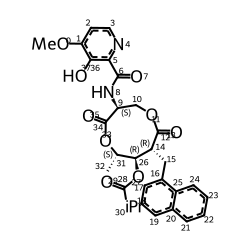 COc1ccnc(C(=O)N[C@H]2COC(=O)[C@H](Cc3cccc4ccccc34)[C@@H](OC(=O)C(C)C)[C@H](C)OC2=O)c1O